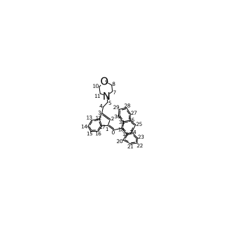 C(=C1C=C(CCN2CCOCC2)c2ccccc21)c1c2ccccc2cc2ccccc12